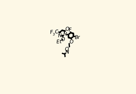 CCOc1nc(C(F)(F)F)cc(=O)n1-c1cc(OCCON=C(C)C)c(Br)cc1F